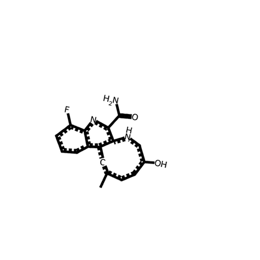 Cc1ccc(O)c[nH]c2c(C(N)=O)nc3c(F)cccc3c2c1